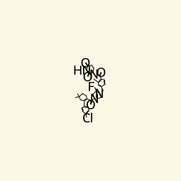 CC1(C)CCC(C(=O)N2CCN(Cc3ccc4c(c3)CN(C3CCC(=O)NC3=O)C4=O)C(CF)C2)=C(c2ccc(Cl)cc2)C1